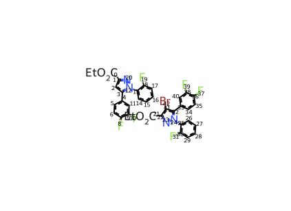 CCOC(=O)c1cc(-c2ccc(F)c(F)c2)n(-c2ccccc2F)n1.CCOC(=O)c1nn(-c2ccccc2F)c(-c2ccc(F)c(F)c2)c1Br